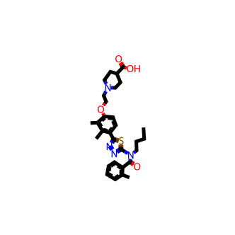 CCCCN(C(=O)c1ccccc1C)c1nnc(-c2ccc(OCCN3CCC(C(=O)O)CC3)c(C)c2C)s1